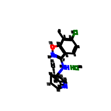 Cc1c(Cl)ccc2c(N[C@H]3CN4CCC3CC4)noc12.Cl